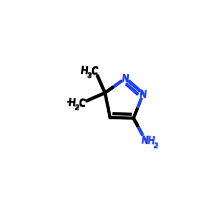 [CH2]C1(C)C=C(N)N=N1